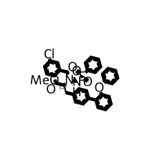 COC(=O)[C@H](Cc1ccc(-c2ccccc2Oc2ccccc2)cc1)N(NS(=O)(=O)c1ccccc1)C(=O)c1cccc(Cl)c1